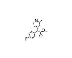 COC(=O)C(c1ccc(F)cc1)N1C[C@H](C)N(C)C[C@H]1C